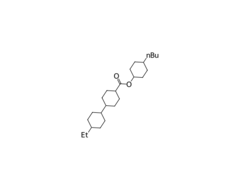 CCCCC1CCC(OC(=O)C2CCC(C3CCC(CC)CC3)CC2)CC1